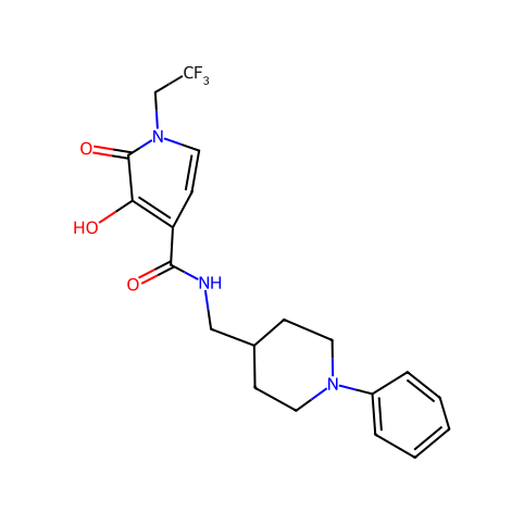 O=C(NCC1CCN(c2ccccc2)CC1)c1ccn(CC(F)(F)F)c(=O)c1O